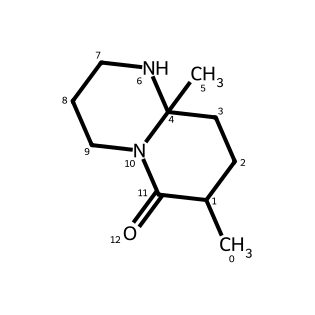 CC1CCC2(C)NCCCN2C1=O